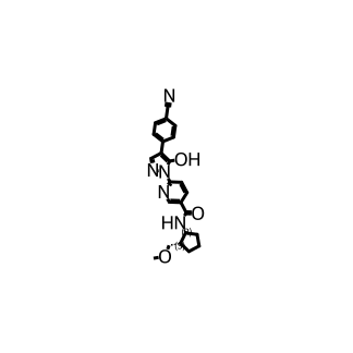 COC[C@H]1CCC[C@H]1NC(=O)c1ccc(-n2ncc(-c3ccc(C#N)cc3)c2O)nc1